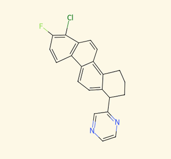 Fc1ccc2c(ccc3c4c(ccc32)C(c2cnccn2)CCC4)c1Cl